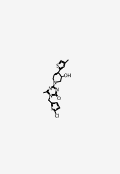 Cc1csc(C2=CCN(c3nc(C)n(Cc4ccc(Cl)s4)c(=O)n3)C[C@@H]2O)c1